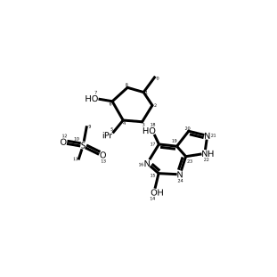 CC1CCC(C(C)C)C(O)C1.CS(C)(=O)=O.Oc1nc(O)c2cn[nH]c2n1